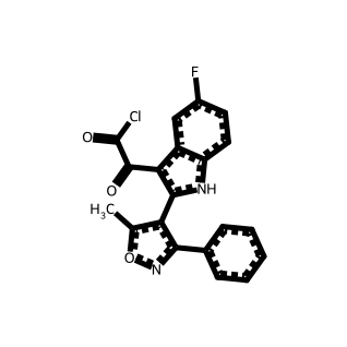 Cc1onc(-c2ccccc2)c1-c1[nH]c2ccc(F)cc2c1C(=O)C(=O)Cl